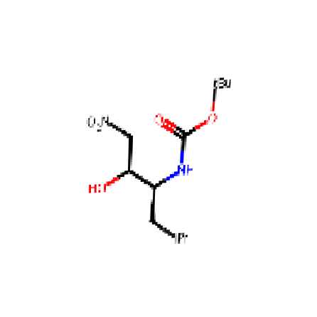 CC(C)C[C@H](NC(=O)OC(C)(C)C)C(O)C[N+](=O)[O-]